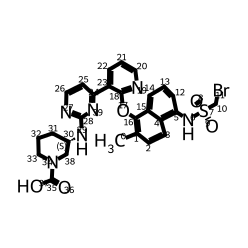 Cc1ccc2c(NS(=O)(=O)CBr)cccc2c1Oc1ncccc1-c1ccnc(N[C@H]2CCCN(C(=O)O)C2)n1